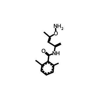 C=C(/C=C(/C)ON)NC(=O)c1c(C)cccc1C